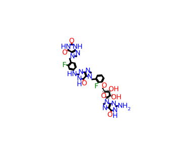 Nc1nc2c(ncn2[C@@H]2O[C@@H](COc3cccc(Cn4cnc5nc(Nc6ccc(Cn7cnc8[nH]c(=O)[nH]c(=O)c87)c(F)c6)[nH]c(=O)c54)c3F)[C@H](O)[C@@H]2O)c(=O)[nH]1